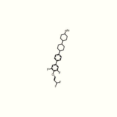 CCCC1CCC(C2CCC(c3ccc(-c4cc(F)c(O/C=C/C(F)F)c(F)c4)cc3)CC2)CC1